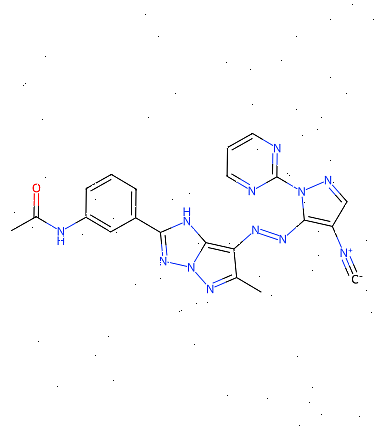 [C-]#[N+]c1cnn(-c2ncccn2)c1/N=N/c1c(C)nn2nc(-c3cccc(NC(C)=O)c3)[nH]c12